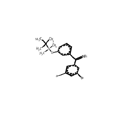 CC(C)(C)[Si](C)(C)Oc1cccc(C(=N)c2cc(Br)cc(Br)c2)c1